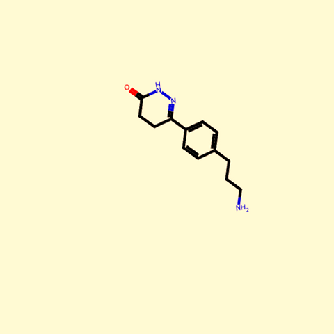 NCCCc1ccc(C2=NNC(=O)CC2)cc1